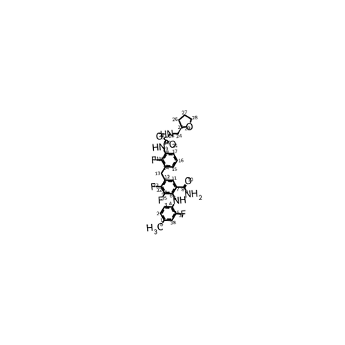 Cc1ccc(Nc2c(C(N)=O)cc(Cc3cccc(NS(=O)(=O)NC[C@H]4CCCO4)c3F)c(F)c2F)c(F)c1